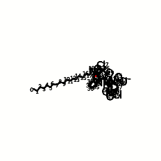 CCCCCCCCCCCCCCCCCCN(C)S(=O)(=O)CC(C)(CCl)C(=O)C(C(=O)Nc1ccccc1)n1nc2c([N+](=O)[O-])cc(Cl)c([N+](=O)[O-])c2n1